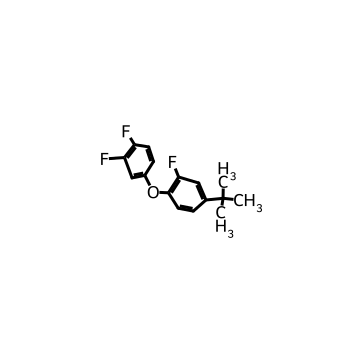 CC(C)(C)c1ccc(Oc2ccc(F)c(F)c2)c(F)c1